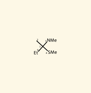 CCC(C)(NC)SC